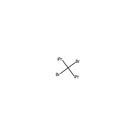 CC(C)C(Br)(Br)C(C)C